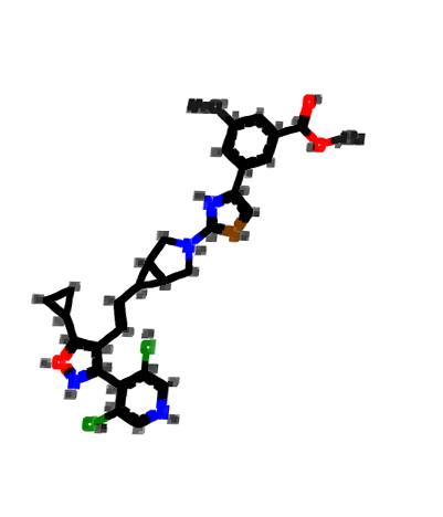 COc1cc(C(=O)OC(C)(C)C)cc(-c2csc(N3CC4C(/C=C/c5c(-c6c(Cl)cncc6Cl)noc5C5CC5)C4C3)n2)c1